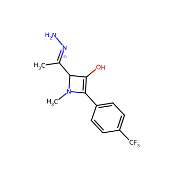 C/C(=N\N)C1C(O)=C(c2ccc(C(F)(F)F)cc2)N1C